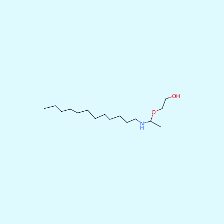 CCCCCCCCCCCCNC(C)OCCO